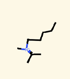 CCCCC[N+](C)=C(C)C